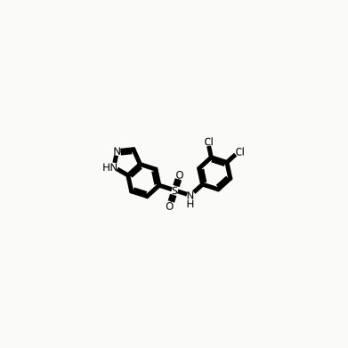 O=S(=O)(Nc1ccc(Cl)c(Cl)c1)c1ccc2[nH]ncc2c1